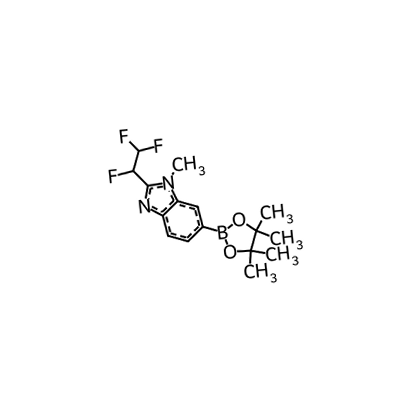 Cn1c(C(F)C(F)F)nc2ccc(B3OC(C)(C)C(C)(C)O3)cc21